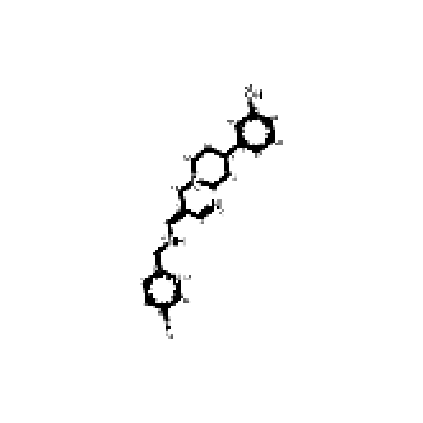 N=C/C(=C\NCc1ccc(F)cn1)CN1CCC(c2cccc(O)c2)CC1